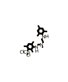 Cc1cc(C)c(NCCN(C)CNc2c(C)cc(C)[c]([Co]([Cl])[Cl])c2C)c(C)c1